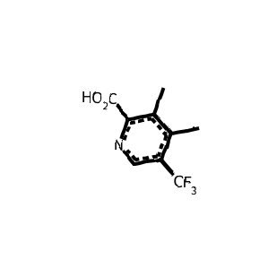 Cc1c(C(F)(F)F)cnc(C(=O)O)c1C